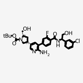 CC(C)(C)OC(=O)N1C[C@@H](c2cnc(N)c(-c3ccc(C(=O)NC(CO)c4cccc(Cl)c4)c(F)c3)c2)C[C@H]1CO